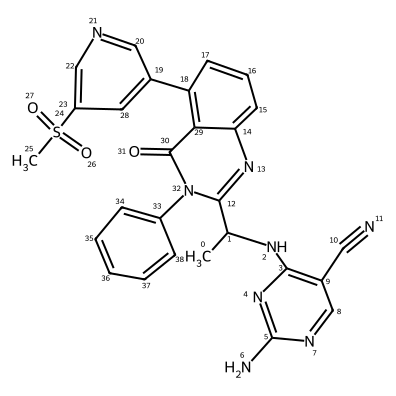 CC(Nc1nc(N)ncc1C#N)c1nc2cccc(-c3cncc(S(C)(=O)=O)c3)c2c(=O)n1-c1ccccc1